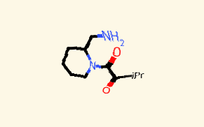 CC(C)C(=O)C(=O)N1CCCCC1CN